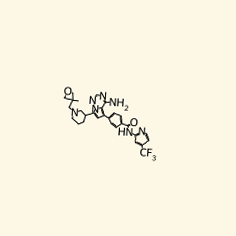 CC1(CN2CCCC(c3cc(-c4ccc(C(=O)Nc5cc(C(F)(F)F)ccn5)cc4)c4c(N)ncnn34)C2)COC1